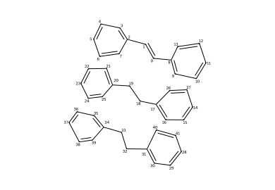 C(=Cc1ccccc1)c1ccccc1.c1ccc(CCc2ccccc2)cc1.c1ccc(CCc2ccccc2)cc1